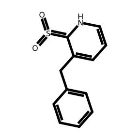 O=S(=O)=c1[nH]cccc1Cc1ccccc1